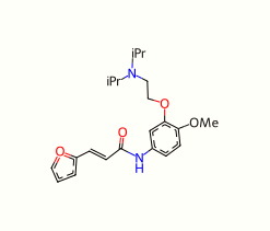 COc1ccc(NC(=O)C=Cc2ccco2)cc1OCCN(C(C)C)C(C)C